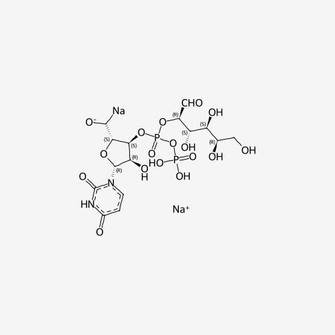 O=C[C@H](OP(=O)(O[C@H]1[C@@H](O)[C@H](n2ccc(=O)[nH]c2=O)O[C@@H]1[CH]([O-])[Na])OP(=O)(O)O)[C@@H](O)[C@@H](O)[C@H](O)CO.[Na+]